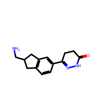 NCC1Cc2ccc(C3=NNC(=O)CC3)cc2C1